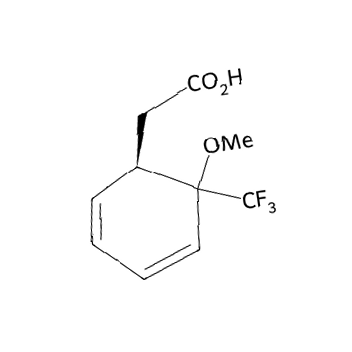 COC1(C(F)(F)F)C=CC=C[C@H]1CC(=O)O